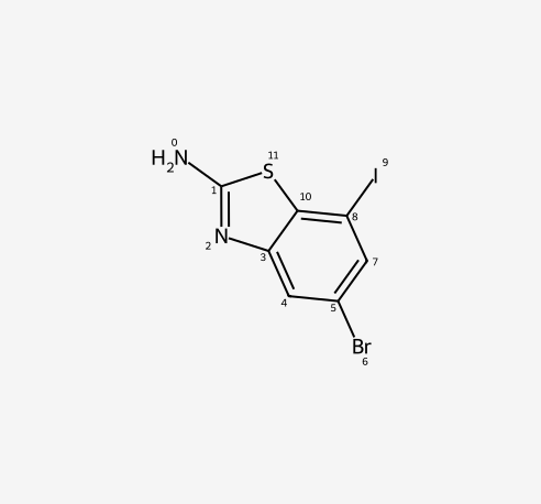 Nc1nc2cc(Br)cc(I)c2s1